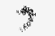 NC(=O)CN1CCC(n2cc(-c3nc4c(N[C@H]5[C@@H](C(N)=O)[C@@H]6C=C[C@H]5C6)c(Cl)cnc4[nH]3)cn2)CC1